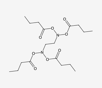 CCCC(=O)ON(CCN(OC(=O)CCC)OC(=O)CCC)OC(=O)CCC